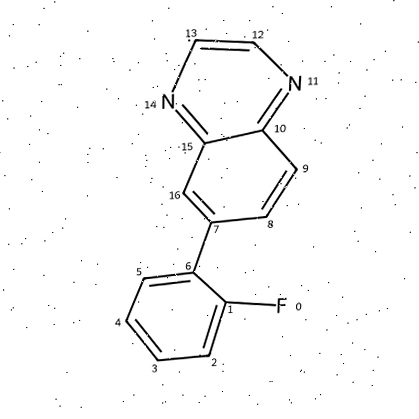 Fc1ccccc1-c1ccc2nc[c]nc2c1